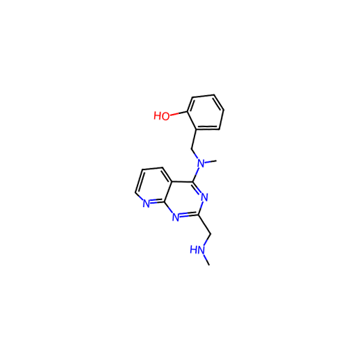 CNCc1nc(N(C)Cc2ccccc2O)c2cccnc2n1